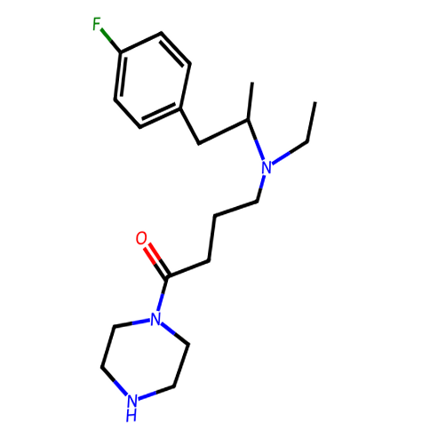 CCN(CCCC(=O)N1CCNCC1)C(C)Cc1ccc(F)cc1